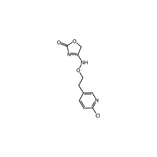 O=C1N=C(NOCCc2ccc(Cl)nc2)CO1